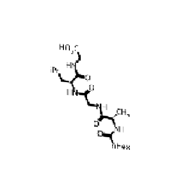 CCCCCCC(=O)N[C@@H](C)C(=O)NCC(=O)N[C@@H](CC(C)C)C(=O)NCC(=O)O